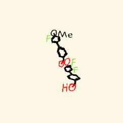 COc1ccc(-c2ccc(C(=O)Oc3ccc(-c4ccc(CO)cc4)c(F)c3F)cc2)cc1F